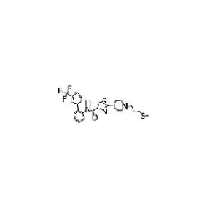 CSCCCN1CCC(c2nc(C(=O)Nc3ccccc3-c3cccc(C(F)(F)F)c3)cs2)CC1